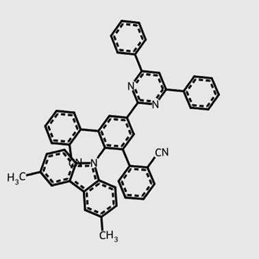 Cc1ccc2c(c1)c1cc(C)ccc1n2-c1c(-c2ccccc2C#N)cc(-c2nc(-c3ccccc3)cc(-c3ccccc3)n2)cc1-c1ccccc1C#N